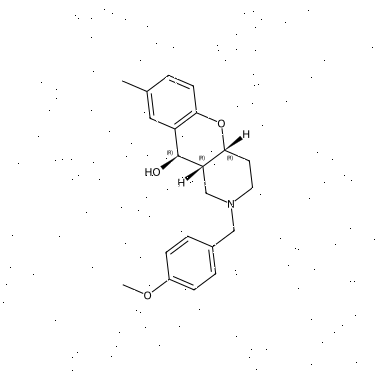 COc1ccc(CN2CC[C@H]3Oc4ccc(C)cc4[C@H](O)[C@H]3C2)cc1